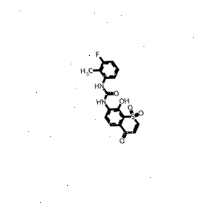 Cc1c(F)cccc1NC(=O)Nc1ccc2c(c1O)S(=O)(=O)C=CC2=O